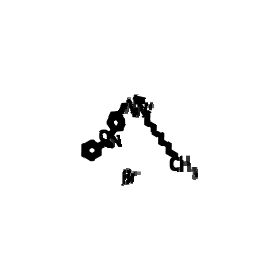 CCCCCCCCCC[n+]1ccn(Cc2ccc(-c3ncc(-c4ccccc4)o3)cc2)c1.[Br-]